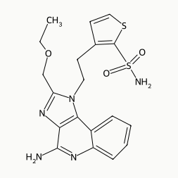 CCOCc1nc2c(N)nc3ccccc3c2n1CCc1ccsc1S(N)(=O)=O